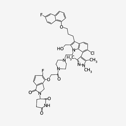 Cc1nn(C)c(C)c1-c1c(Cl)ccc2c(CCCOc3cccc4cc(F)ccc34)c(CO)n(CCN3CCN(C(=O)COc4c(F)ccc5c4CN(C4CCC(=O)NC4=O)C5=O)CC3)c12